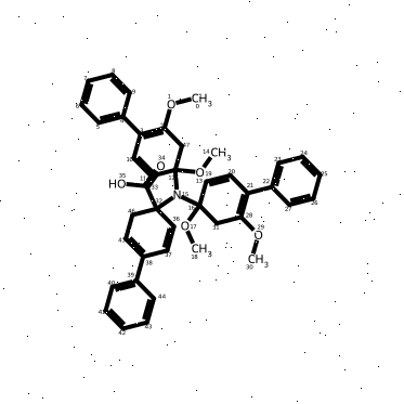 COC1=C(c2ccccc2)C=CC(OC)(N(C2(OC)C=CC(c3ccccc3)=C(OC)C2)C2(C(=O)O)C=CC(c3ccccc3)=CC2)C1